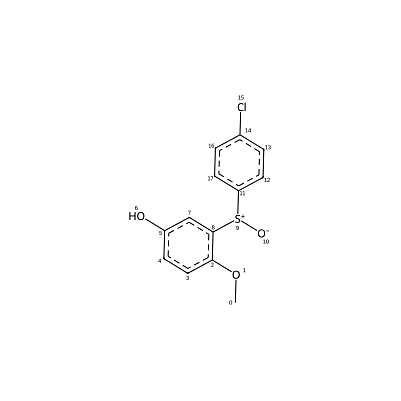 COc1ccc(O)cc1[S+]([O-])c1ccc(Cl)cc1